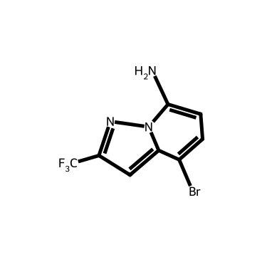 Nc1ccc(Br)c2cc(C(F)(F)F)nn12